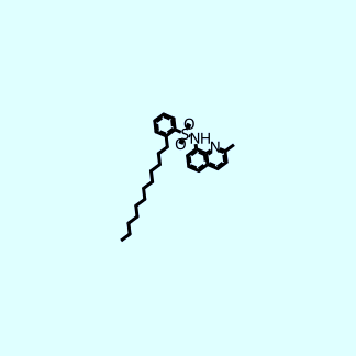 CCCCCCCCCCCCc1ccccc1S(=O)(=O)Nc1cccc2ccc(C)nc12